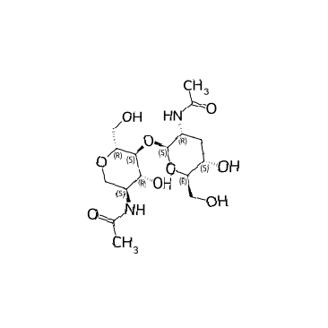 CC(=O)N[C@H]1CO[C@H](CO)[C@@H](O[C@@H]2O[C@H](CO)[C@@H](O)C[C@H]2NC(C)=O)[C@@H]1O